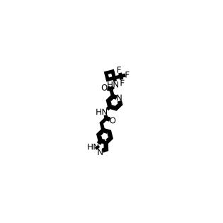 O=C(Cc1ccc2cn[nH]c2c1)Nc1ccnc(C(=O)NC2(C(F)(F)F)CCC2)c1